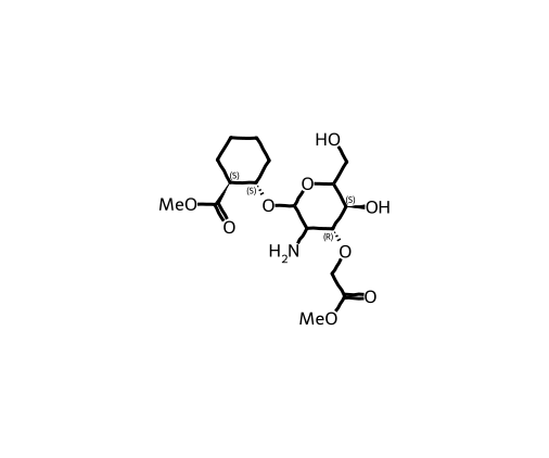 COC(=O)CO[C@@H]1C(N)C(O[C@H]2CCCC[C@@H]2C(=O)OC)OC(CO)[C@H]1O